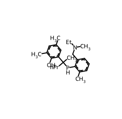 CCCC(C)(Pc1c(C)cccc1CN(C)CC)c1cc(C)cc(C)c1O